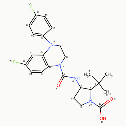 CC(C)(C)C1C(NC(=O)N2CCN(c3ccc(F)cc3)c3cc(F)ccc32)CCN1C(=O)O